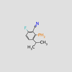 CC(C)c1ccc(F)c(C#N)c1P